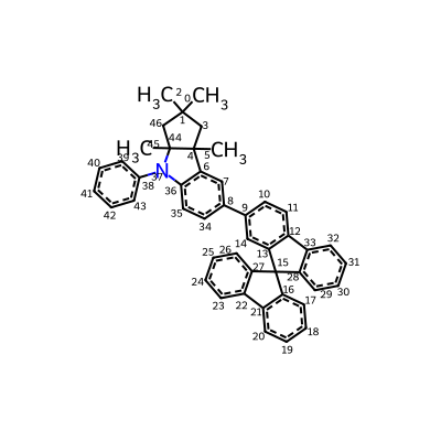 CC1(C)CC2(C)c3cc(-c4ccc5c(c4)C4(c6ccccc6-c6ccccc64)c4ccccc4-5)ccc3N(c3ccccc3)C2(C)C1